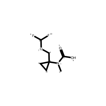 CN(C(=O)O)C1(COC(F)F)CC1